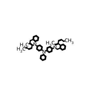 C=C/C=C\C1=C(C)Cc2ccccc2N1c1ccc(N(c2ccccc2)c2ccc(N3Cc4ccccc4C(/C=C\CC)=C3C)cc2)cc1